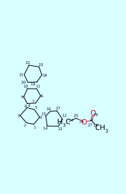 C1CCCCC1.C1CCCCC1.C1CCCCC1.C1CCCCC1.CCOC(C)=O